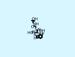 CC(C)(O)CNC(=O)CS/C(=N/O)C(=N)/C(=N/O)NC1Cc2ccc(F)cc21